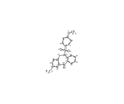 O=S(=O)(c1ccc(OC(F)(F)F)cc1)N1Cc2ccc(C(F)(F)F)nc2Nc2ccccc21